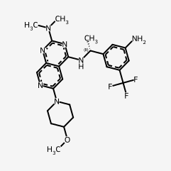 COC1CCN(c2cc3c(N[C@H](C)c4cc(N)cc(C(F)(F)F)c4)nc(N(C)C)nc3cn2)CC1